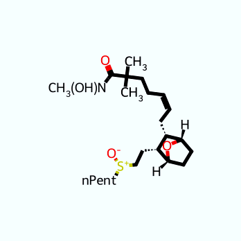 CCCCC[S+]([O-])CC[C@@H]1[C@H](C/C=C\CCC(C)(C)C(=O)N(C)O)[C@@H]2CC[C@H]1O2